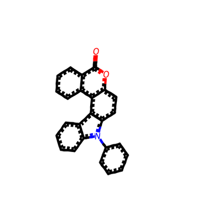 O=c1oc2ccc3c(c4ccccc4n3-c3ccccc3)c2c2ccccc12